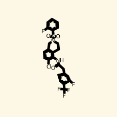 O=C(Cc1ccc(C(F)(F)F)c(F)c1)Nc1c(Cl)ccc2c1CCN(S(=O)(=O)c1ccccc1F)C2